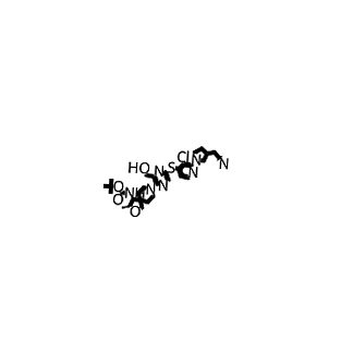 C[C@@H]1OCC2(CCN(c3ncc(Sc4ccnc(N5CCC(CC#N)C5)c4Cl)nc3CO)CC2)[C@@H]1NC(=O)OC(C)(C)C